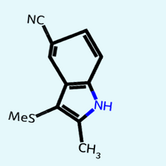 CSc1c(C)[nH]c2ccc(C#N)cc12